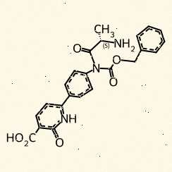 C[C@H](N)C(=O)N(C(=O)OCc1ccccc1)c1ccc(-c2ccc(C(=O)O)c(=O)[nH]2)cc1